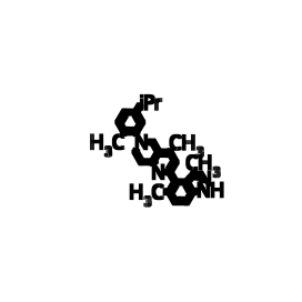 Cc1ccc(C(C)C)cc1N1CCc2nc(-c3c(C)ccc4[nH]nc(C)c34)cc(C)c2C1